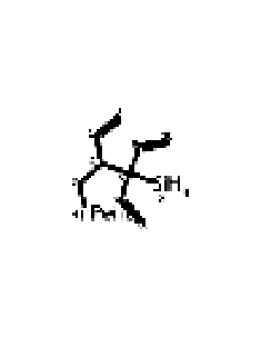 C=CC(CCCCCC)C([SiH3])(C=C)C=C